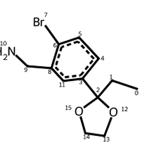 CCC1(c2ccc(Br)c(CN)c2)OCCO1